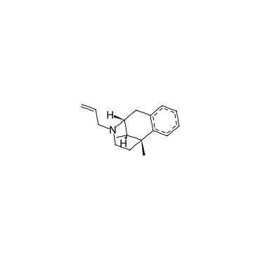 C=CCN1CC[C@@]2(C)c3ccccc3C[C@@H]1[C@H]2C